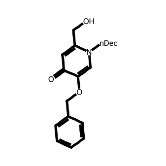 CCCCCCCCCCn1cc(OCc2ccccc2)c(=O)cc1CO